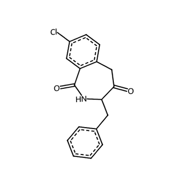 O=C1NC(Cc2ccccc2)C(=O)Cc2ccc(Cl)cc21